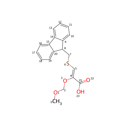 COCOC(=CSCC1c2ccccc2-c2ccccc21)C(=O)O